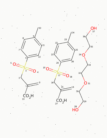 C=C(CS(=O)(=O)c1ccc(C)cc1)C(=O)O.C=C(CS(=O)(=O)c1ccc(C)cc1)C(=O)O.OCCOCCOCCO